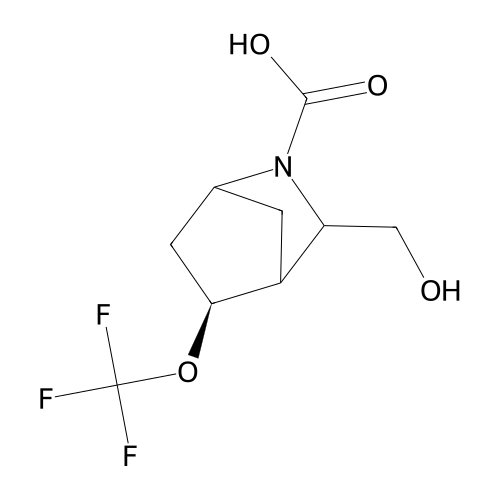 O=C(O)N1C2CC(C1CO)[C@@H](OC(F)(F)F)C2